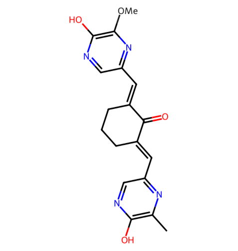 COc1nc(/C=C2\CCC/C(=C\c3cnc(O)c(C)n3)C2=O)cnc1O